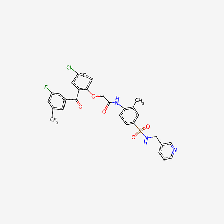 Cc1cc(S(=O)(=O)NCc2cccnc2)ccc1NC(=O)COc1ccc(Cl)cc1C(=O)c1cc(F)cc(C(F)(F)F)c1